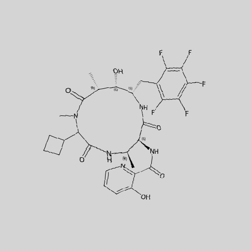 C[C@H]1NC(=O)C(C2CCC2)N(C)C(=O)[C@H](C)[C@H](O)[C@H](Cc2c(F)c(F)c(F)c(F)c2F)NC(=O)[C@H]1NC(=O)c1ncccc1O